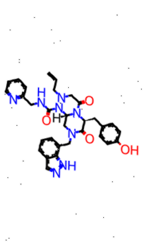 C=CCN1CC(=O)N2[C@@H](Cc3ccc(O)cc3)C(=O)N(Cc3cccc4cn[nH]c34)C[C@@H]2N1C(=O)NCc1ccccn1